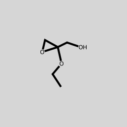 CCOC1(CO)CO1